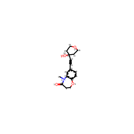 CN1C(=O)CCOc2ccc(C#CC3(O)CCOCC3)cc21